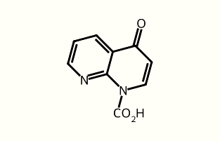 O=C(O)n1ccc(=O)c2cccnc21